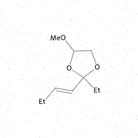 CCC=CC1(CC)OCC(OC)O1